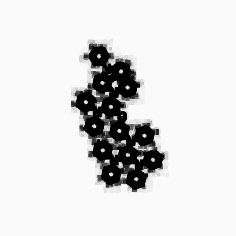 c1ccc(N(c2ccccc2)c2cc(N(c3ccccc3)c3ccccc3)cc(N(c3ccccc3)c3cccc(Oc4cc(N(c5ccccc5)c5ccccc5)cc(N(c5ccccc5)c5cccc6c5c5ccccc5n6-c5ccccc5)c4)c3)c2)cc1